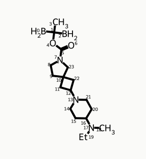 BC(B)(C)OC(=O)N1CCC2(CC(N3CCC(N(C)CC)CC3)C2)C1